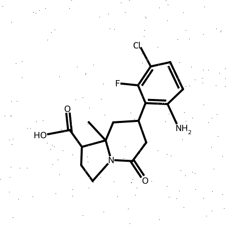 CC12CC(c3c(N)ccc(Cl)c3F)CC(=O)N1CCC2C(=O)O